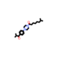 CC(C)CCCCCC(=O)N1CCN(c2ccc(C(=O)C(C)C)cc2)CC1